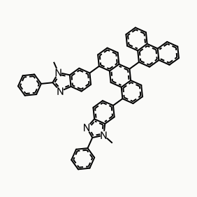 Cn1c(-c2ccccc2)nc2ccc(-c3cccc4c(-c5cc6ccccc6c6ccccc56)c5cccc(-c6ccc7nc(-c8ccccc8)n(C)c7c6)c5cc34)cc21